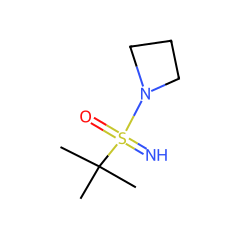 CC(C)(C)S(=N)(=O)N1CCC1